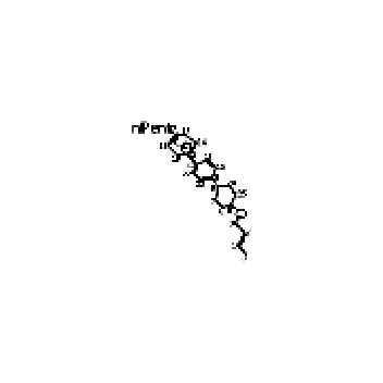 CC=CCOC1CCC(c2ccc(C34CCC(CCCCC)(CC3)CC4)cc2)CC1